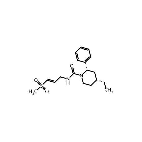 CC[C@@H]1CCN(C(=O)NC/C=C/S(C)(=O)=O)[C@H](c2ccccc2)C1